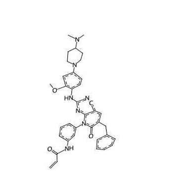 C=CC(=O)Nc1cccc(-n2c(=O)c(Cc3ccccc3)cc3cnc(Nc4ccc(N5CCC(N(C)C)CC5)cc4OC)nc32)c1